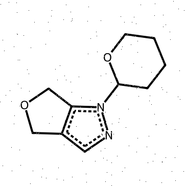 c1nn(C2CCCCO2)c2c1COC2